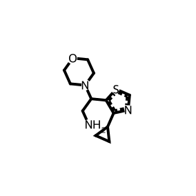 NCC(c1scnc1C1CC1)N1CCOCC1